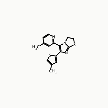 Cc1ccnc(-c2c(-c3cc(C)cs3)nc3n2CCS3)c1